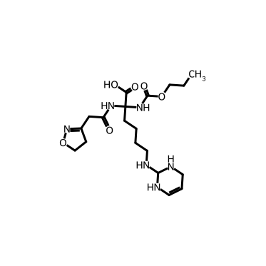 CCCOC(=O)NC(CCCCNC1NC=CCN1)(NC(=O)CC1=NOCC1)C(=O)O